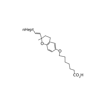 CCCCCCC/C=C/C1(C)CCc2cc(OCCCCCCC(=O)O)ccc2O1